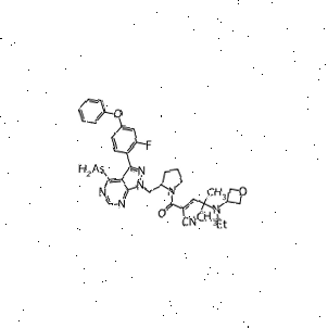 CCN(C1COC1)C(C)(C)C=C(C#N)C(=O)N1CCCC1Cn1nc(-c2ccc(Oc3ccccc3)cc2F)c2c([AsH2])ncnc21